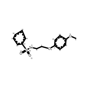 COc1ccc(OCC[Se]S(=O)(=O)c2ccccc2)cc1